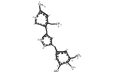 Cc1cc(C(F)(F)F)c(-c2cc(-c3cc(O)c(O)c([N+](=O)[O-])c3)no2)cn1